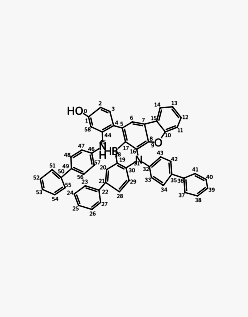 Oc1ccc(-c2cc3c(oc4ccccc43)c3c2Bc2cc(-c4ccccc4)ccc2N3c2ccc(-c3ccccc3)cc2)c(Nc2ccc(-c3ccccc3)cc2)c1